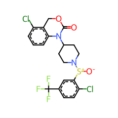 O=C1OCc2c(Cl)cccc2N1C1CCN([S+]([O-])c2cc(C(F)(F)F)ccc2Cl)CC1